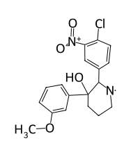 COc1cccc(C2(O)CCC[N]C2c2ccc(Cl)c([N+](=O)[O-])c2)c1